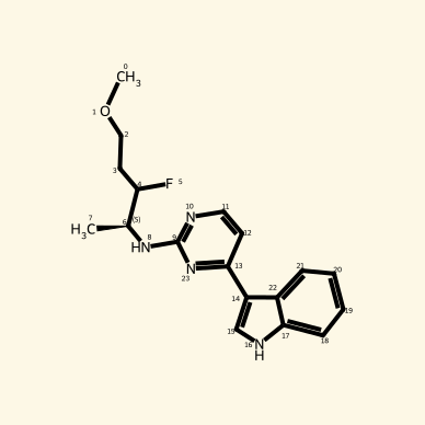 COCCC(F)[C@H](C)Nc1nccc(-c2c[nH]c3ccccc23)n1